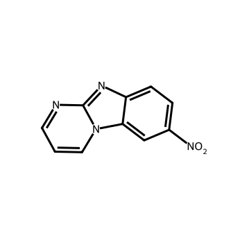 O=[N+]([O-])c1ccc2nc3ncccn3c2c1